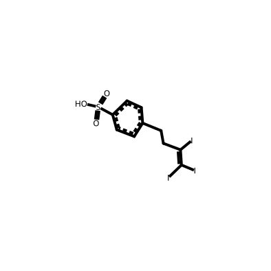 O=S(=O)(O)c1ccc(CCC(I)=C(I)I)cc1